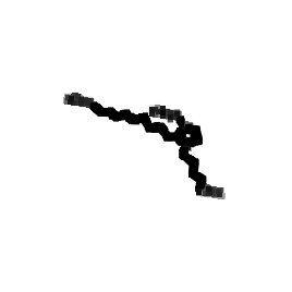 CCCCCCCCCCCCCCCCCCCc1n(CCCCCCCCCCCCCC)cc[n+]1CCCCCCC